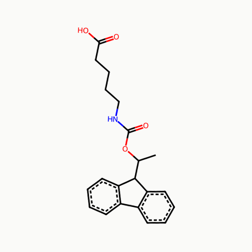 CC(OC(=O)NCCCCC(=O)O)C1c2ccccc2-c2ccccc21